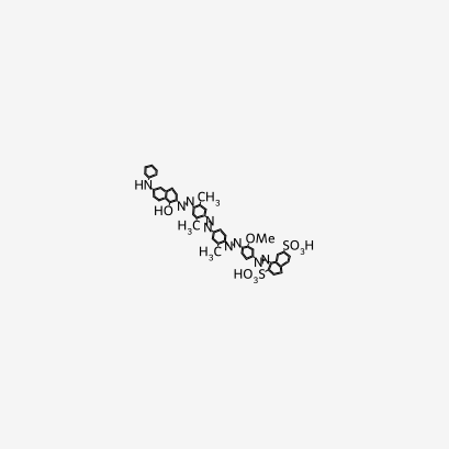 COc1cc(N=Nc2c(S(=O)(=O)O)ccc3ccc(S(=O)(=O)O)cc23)ccc1N=Nc1ccc(N=Nc2cc(C)c(N=Nc3ccc4cc(Nc5ccccc5)ccc4c3O)cc2C)cc1C